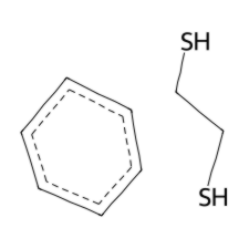 SCCS.c1ccccc1